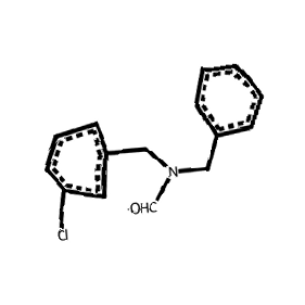 O=[C]N(Cc1ccccc1)Cc1cccc(Cl)c1